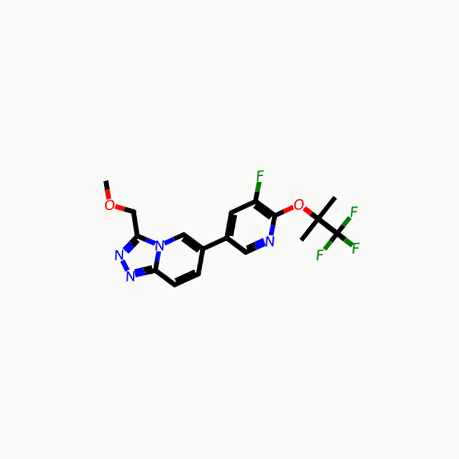 COCc1nnc2ccc(-c3cnc(OC(C)(C)C(F)(F)F)c(F)c3)cn12